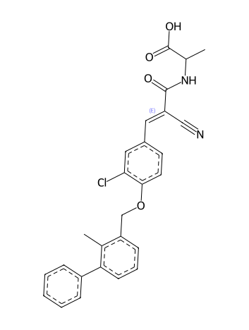 Cc1c(COc2ccc(/C=C(\C#N)C(=O)NC(C)C(=O)O)cc2Cl)cccc1-c1ccccc1